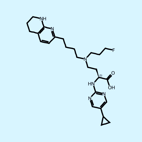 O=C(O)[C@H](CCN(CCCF)CCCCc1ccc2c(n1)NCCC2)Nc1ncc(C2CC2)cn1